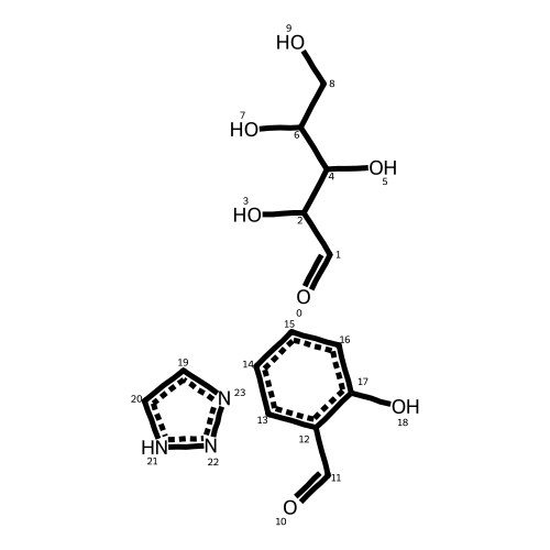 O=CC(O)C(O)C(O)CO.O=Cc1ccccc1O.c1c[nH]nn1